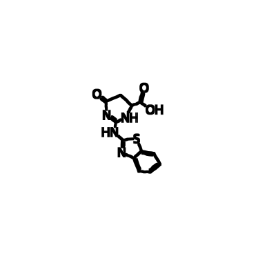 O=C1CC(C(=O)O)NC(Nc2nc3ccccc3s2)=N1